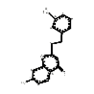 O=c1cc(CCc2cccc(O)c2)oc2cc(O)ccc12